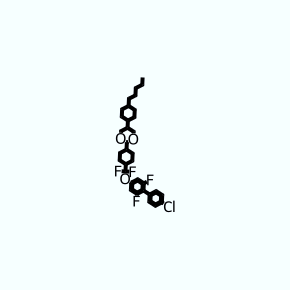 CCCCCC1CCC(C2COC(C3CCC(C(F)(F)Oc4cc(F)c(-c5ccc(Cl)cc5)c(F)c4)CC3)OC2)CC1